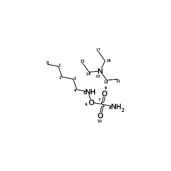 CCCCCNOS(N)(=O)=O.CCN(CC)CC